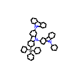 c1ccc(-n2c3ccccc3c3cc(-n4c5cc(-n6c7ccccc7c7ccccc76)ccc5c5ccc([Si](c6ccccc6)(c6ccccc6)c6ccccc6)cc54)ccc32)cc1